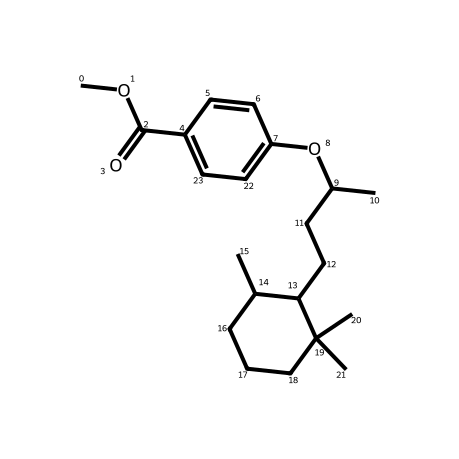 COC(=O)c1ccc(OC(C)CCC2C(C)CCCC2(C)C)cc1